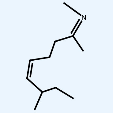 CCC(C)/C=C\CC/C(C)=N\C